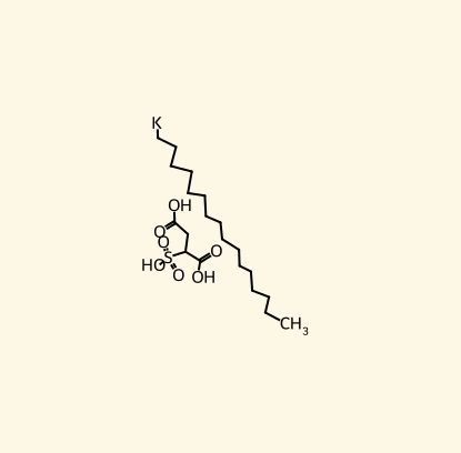 CCCCCCCCCCCCCCC[CH2][K].O=C(O)CC(C(=O)O)S(=O)(=O)O